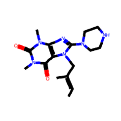 C/C=C(\C)Cn1c(N2CCNCC2)nc2c1c(=O)n(C)c(=O)n2C